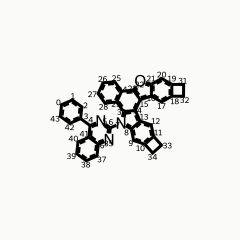 c1ccc(-c2nc(-n3c4cc5c(cc4c4c6c7cc8c(cc7oc6c6ccccc6c43)CC8)CC5)nc3ccccc23)cc1